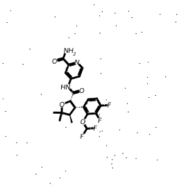 C[C@@H]1[C@@H](c2ccc(F)c(F)c2OC(F)F)[C@@H](C(=O)Nc2ccnc(C(N)=O)c2)OC1(C)C